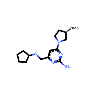 CN[C@@H]1CCN(c2cc(CNC3CCCC3)nc(N)n2)C1